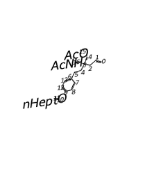 C=CCC(CCc1ccc(OCCCCCCC)cc1)(COC(C)=O)NC(C)=O